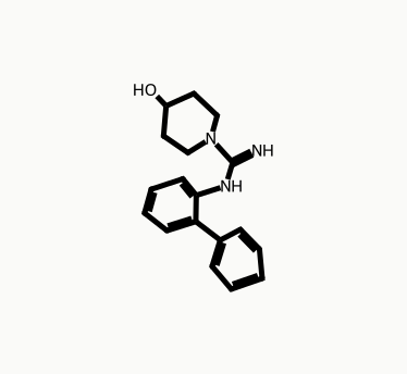 N=C(Nc1ccccc1-c1ccccc1)N1CCC(O)CC1